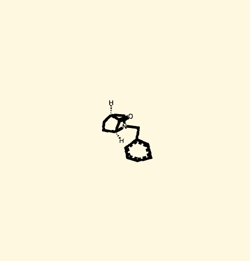 O=C1[C@H]2CC[C@@H]1N(Cc1ccccc1)C2